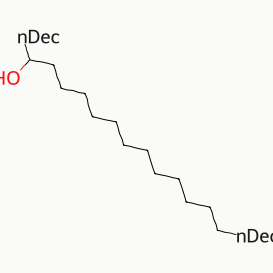 CCCCCCCCCCCCCCCCCCCCCCC(O)CCCCCCCCCC